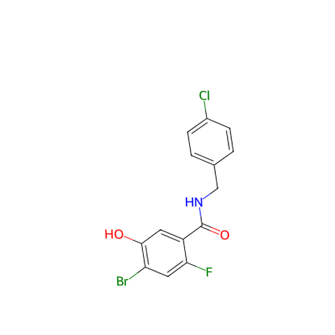 O=C(NCc1ccc(Cl)cc1)c1cc(O)c(Br)cc1F